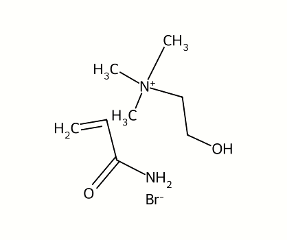 C=CC(N)=O.C[N+](C)(C)CCO.[Br-]